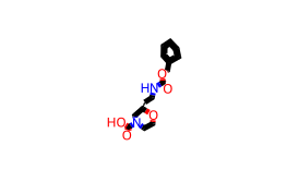 O=C(NCC[C@H]1CN(C(=O)O)CCO1)OCc1ccccc1